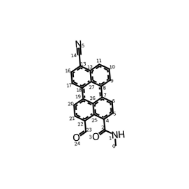 CNC(=O)c1ccc2c3cccc4c(C#N)ccc(c5ccc(C=O)c1c52)c43